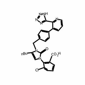 CCCCc1cn(-c2c(Cl)cccc2C(=O)O)c(=O)n1Cc1ccc(-c2cccnc2-c2nnn[nH]2)cc1